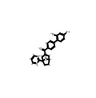 O=C(c1ccc(-c2ccc(F)cc2F)cc1)C1CC2CCC(c3ncccn3)(C1)N2